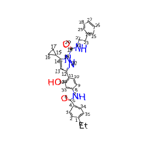 CCc1ccc(C(=O)Nc2ccc(-c3cc(C4CC4)n(C(=O)NCCc4ccccc4)n3)c(O)c2)cc1